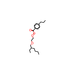 CCCCC(CC)COC[CH]OOC(=O)c1ccc(CCC)cc1